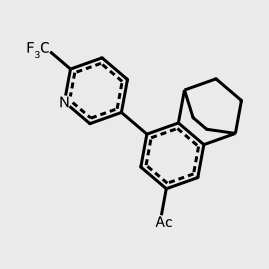 CC(=O)c1cc(-c2ccc(C(F)(F)F)nc2)c2c(c1)C1CCC2CC1